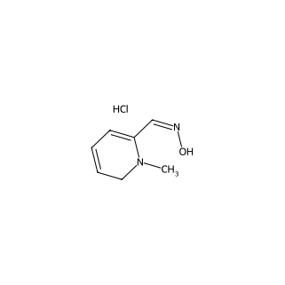 CN1CC=CC=C1/C=N\O.Cl